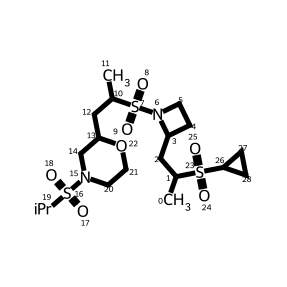 CC(CC1CCN1S(=O)(=O)C(C)CC1CN(S(=O)(=O)C(C)C)CCO1)S(=O)(=O)C1CC1